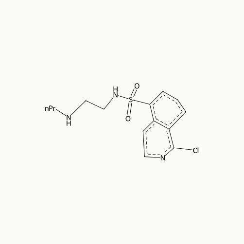 CCCNCCNS(=O)(=O)c1cccc2c(Cl)nccc12